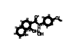 COc1ccc(NC(=O)c2ccc3cccnc3c2O)cc1.Cl